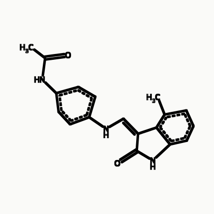 CC(=O)Nc1ccc(NC=C2C(=O)Nc3cccc(C)c32)cc1